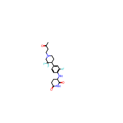 CC(=O)CCN1CCC(c2ccc(NC3CCC(=O)NC3=O)c(F)c2)C(F)(F)C1